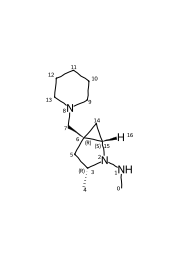 CNN1[C@H](C)C[C@]2(CN3CCCCC3)C[C@H]12